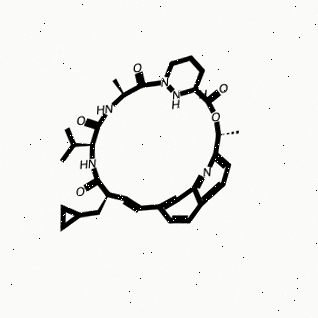 CC(C)[C@@H]1NC(=O)[C@H](CC2CC2)/C=C/c2ccc3ccc(nc3c2)[C@@H](C)OC(=O)[C@@H]2CCCN(N2)C(=O)[C@H](C)NC1=O